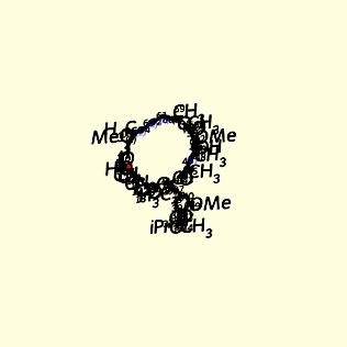 CO[C@H]1CC2CC[C@@H](C)[C@@](O)(O2)C(=O)C(=O)N2CCCCC2C(=O)O[C@H]([C@H](C)C[C@@H]2CC[C@@H](OP(C)(=O)OC(C)C)[C@H](OC)C2)CC(=O)[C@H](C)/C=C(\C)[C@@H](O)[C@@H](OC)C(=O)[C@H](C)C[C@H](C)/C=C/C=C/C=C/1C